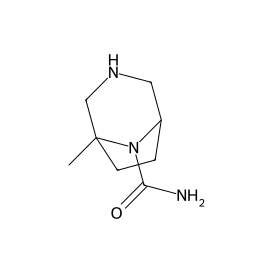 CC12CCC(CNC1)N2C(N)=O